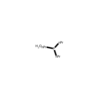 CCCP(CCC)CCC.O